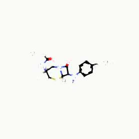 COc1ccc(N(C(C)=O)C2C(=O)N3CC(NC(=O)SC)(C(=O)O)CS[C@H]23)cc1